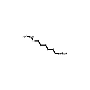 CCCCCCCCCCCCCONCCC